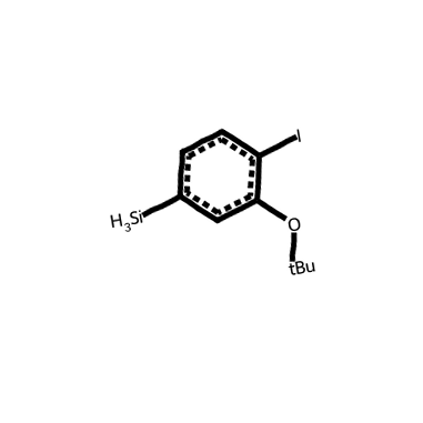 CC(C)(C)Oc1cc([SiH3])ccc1I